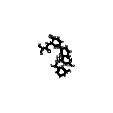 Cc1cccc([C@@H](C)Nc2nc(C)nc3ccc(-c4ccc(=O)n(CC(=O)N(C)C)c4)cc23)c1